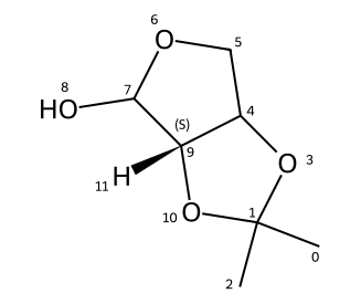 CC1(C)OC2COC(O)[C@H]2O1